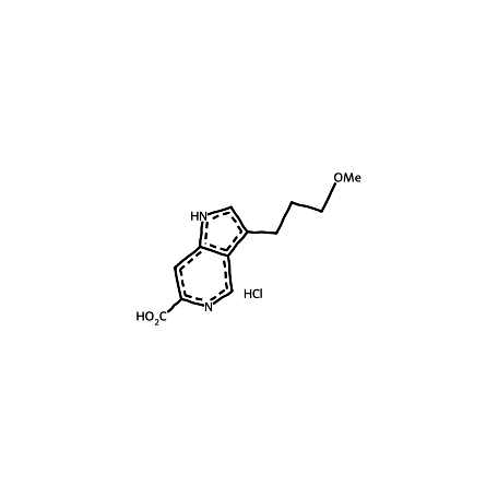 COCCCc1c[nH]c2cc(C(=O)O)ncc12.Cl